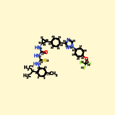 Cc1ccc(C(C)C)c(NC(=S)NC(=O)N[C@@H]2C[C@H]2c2ccc(-c3ncn(-c4ccc(OC(F)(F)F)cc4)n3)cc2)c1